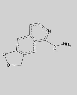 NNc1nccc2cc3c(cc12)COO3